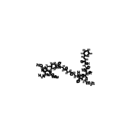 CCCCOc1nc(N)c2nc(O)n(Cc3ccc(C(=O)NCCOCCOCCNC(=O)[C@@H](CCC(=O)OCC)NC(=O)[C@@H](NC(=O)CNC(=O)C=Cc4ccccc4)C(C)C)cc3)c2n1